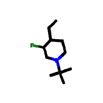 CCC1CCN(C(C)(C)C)CC1F